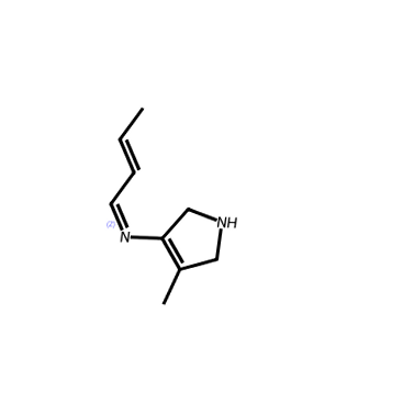 CC=C/C=N\C1=C(C)CNC1